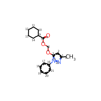 Cc1cc(OCOC(=O)C2CCCCC2)n(-c2ccccc2)n1